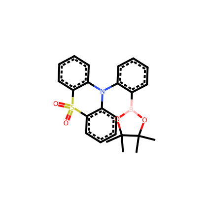 CC1(C)OB(c2ccccc2N2c3ccccc3S(=O)(=O)c3ccccc32)OC1(C)C